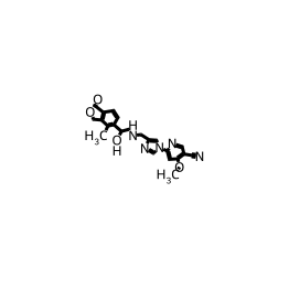 COc1cc(-n2cnc(CNCC(O)c3ccc4c(c3C)COC4=O)c2)ncc1C#N